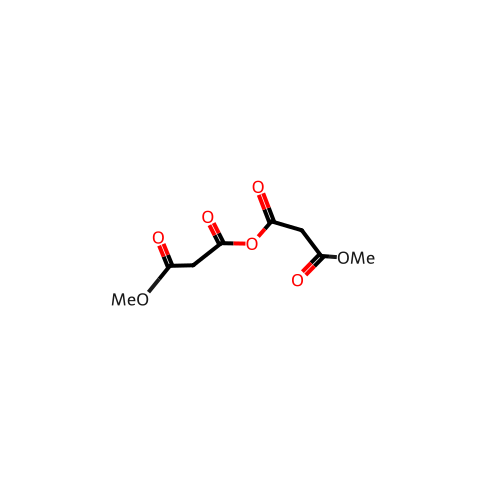 COC(=O)CC(=O)OC(=O)CC(=O)OC